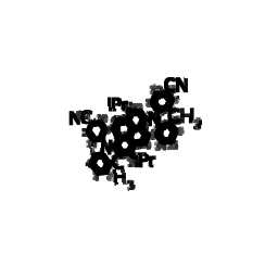 Cc1ccccc1N(C1=CCC(C#N)C=C1)c1cc(C(C)C)c2ccc3c(N(c4ccc(C#N)cc4)c4ccccc4C)cc(C(C)C)c4ccc1c2c43